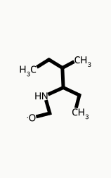 CCC(C)C(CC)NC[O]